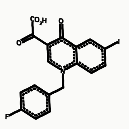 O=C(O)C(=O)c1cn(Cc2ccc(F)cc2)c2ccc(I)cc2c1=O